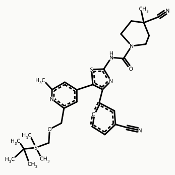 Cc1cc(-c2sc(NC(=O)N3CCC(C)(C#N)CC3)nc2-c2cccc(C#N)c2)cc(COCS(C)(C)C(C)(C)C)n1